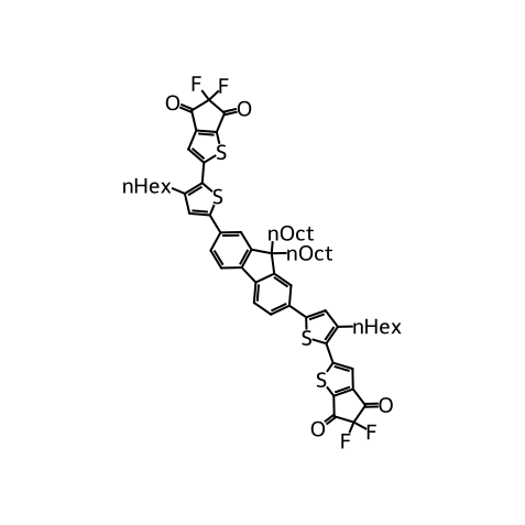 CCCCCCCCC1(CCCCCCCC)c2cc(-c3cc(CCCCCC)c(-c4cc5c(s4)C(=O)C(F)(F)C5=O)s3)ccc2-c2ccc(-c3cc(CCCCCC)c(-c4cc5c(s4)C(=O)C(F)(F)C5=O)s3)cc21